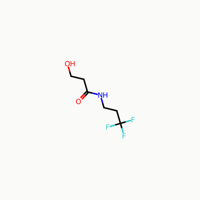 O=C(CCO)NCCC(F)(F)F